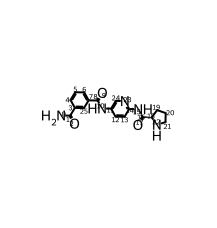 NC(=O)c1cccc(C(=O)Nc2ccc(NC(=O)[C@H]3CCCN3)nc2)c1